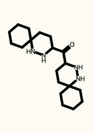 O=C(C1CCC2(CCCCC2)NN1)C1CCC2(CCCCC2)NN1